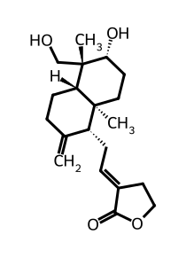 C=C1CC[C@@H]2[C@](C)(CO)[C@H](O)CC[C@@]2(C)[C@@H]1C/C=C1\CCOC1=O